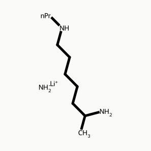 CCCNCCCCCC(C)N.[Li+].[NH2-]